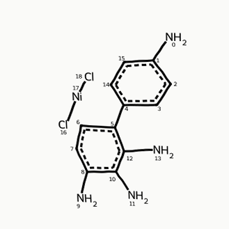 Nc1ccc(-c2ccc(N)c(N)c2N)cc1.[Cl][Ni][Cl]